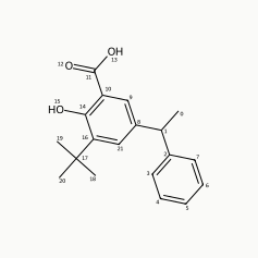 CC(c1ccccc1)c1cc(C(=O)O)c(O)c(C(C)(C)C)c1